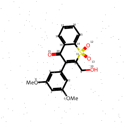 COc1cc(OC)cc(C2=C(CO)S(=O)(=O)c3ccccc3C2=O)c1